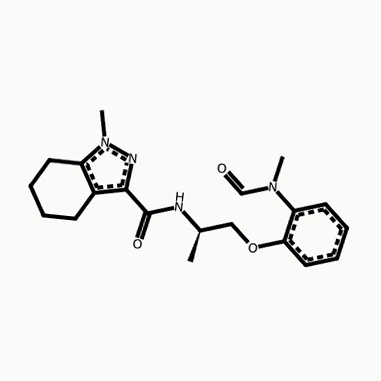 C[C@H](COc1ccccc1N(C)C=O)NC(=O)c1nn(C)c2c1CCCC2